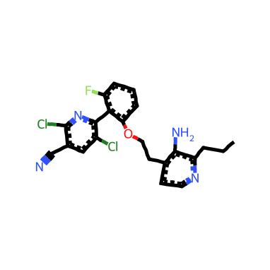 CCCc1nccc(CCOc2cccc(F)c2-c2nc(Cl)c(C#N)cc2Cl)c1N